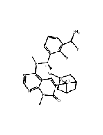 COC1(c2cc3c(N(C)[C@H](C)c4cccc(C(F)P)c4F)ncnc3n(C)c2=O)C2CC1CN(C(C)=O)C2